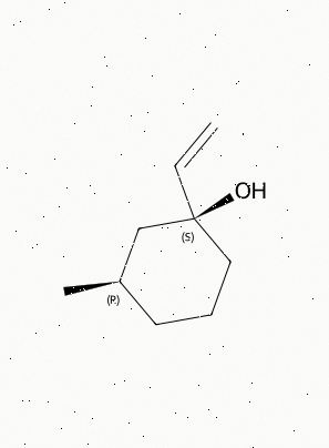 C=C[C@]1(O)CCC[C@@H](C)C1